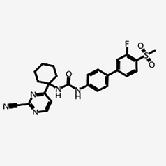 CS(=O)(=O)c1ccc(-c2ccc(NC(=O)NC3(c4ccnc(C#N)n4)CCCCC3)cc2)cc1F